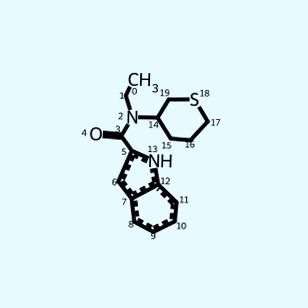 CCN(C(=O)c1cc2ccccc2[nH]1)C1CCCSC1